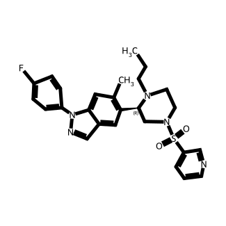 CCCN1CCN(S(=O)(=O)c2cccnc2)C[C@H]1c1cc2cnn(-c3ccc(F)cc3)c2cc1C